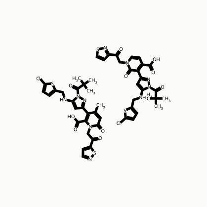 CC(C)(C)C(=O)n1nc(-c2c(C(=O)O)ccn(CC(=O)c3ccsn3)c2=O)cc1NCc1ccc(Cl)s1.Cc1cc(=O)n(CC(=O)c2ccns2)c(C(=O)O)c1-c1cc(NCc2ccc(Cl)s2)n(C(=O)C(C)(C)C)n1